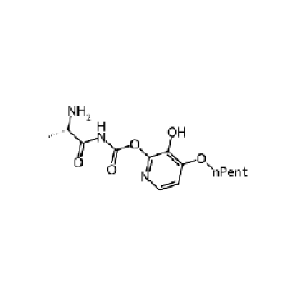 CCCCCOc1ccnc(OC(=O)NC(=O)[C@H](C)N)c1O